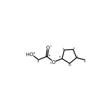 CC1CCC(OC(=O)CO)C1